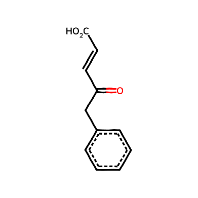 O=C(O)C=CC(=O)Cc1ccccc1